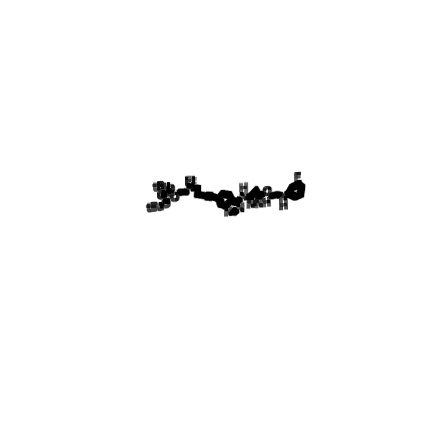 CCN(CCC#Cc1ccc2c(Nc3cc(OCCNc4cccc(F)c4)[nH]n3)ncnc2c1)CCOP(=O)(OC(C)(C)C)OC(C)(C)C